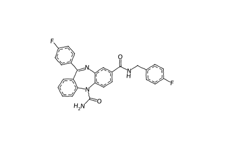 NC(=O)N1c2ccc(C(=O)NCc3ccc(F)cc3)cc2N=C(c2ccc(F)cc2)c2ccccc21